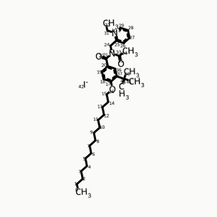 CCCCCCCCCCCCCCCCOc1ccc(C(=O)N(Cc2cccc[n+]2CC)C(C)=O)cc1C(C)(C)C.[I-]